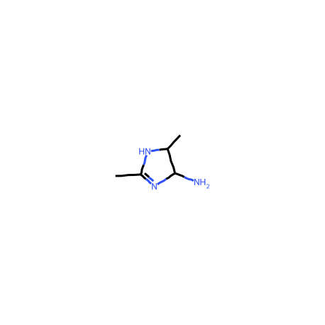 CC1=NC(N)C(C)N1